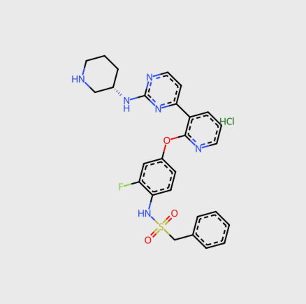 Cl.O=S(=O)(Cc1ccccc1)Nc1ccc(Oc2ncccc2-c2ccnc(N[C@H]3CCCNC3)n2)cc1F